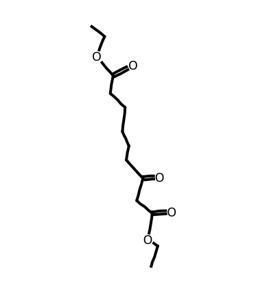 CCOC(=O)CCCCCC(=O)CC(=O)OCC